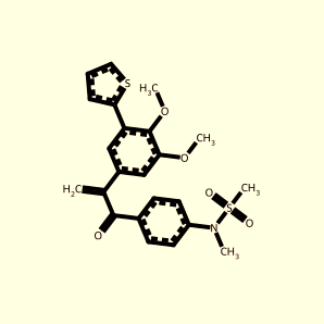 C=C(C(=O)c1ccc(N(C)S(C)(=O)=O)cc1)c1cc(OC)c(OC)c(-c2cccs2)c1